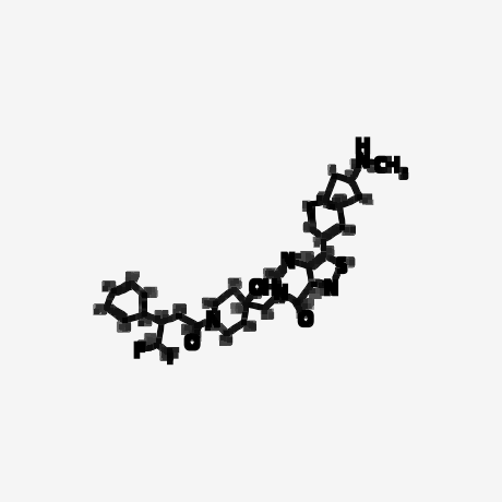 CNC1Cc2ccc(-c3snc4c(=O)n(CC5(O)CCN(C(=O)CC(c6ccccc6)C(F)F)CC5)cnc34)cc2C1